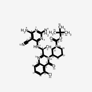 C[C@H](Nc1nc(N)nc(N)c1C#N)c1nc2cccc(Cl)c2c(=O)n1C1CCCN(C(=O)OC(C)(C)C)C1